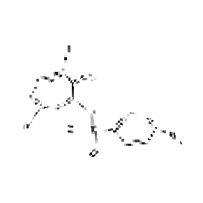 Cc1ccc(S(=O)(=O)Oc2cc(C(C)C)ccc(I)c2=O)cc1